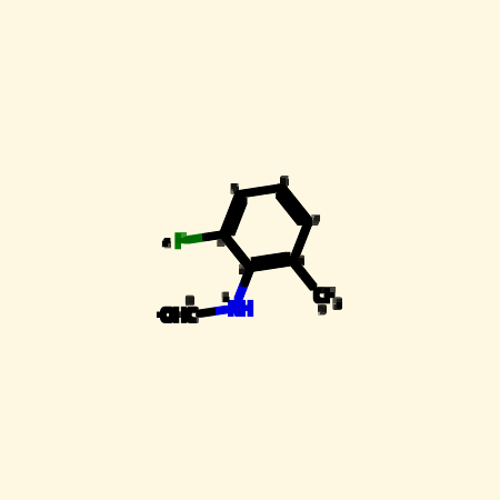 O=[C]Nc1c(F)cccc1C(F)(F)F